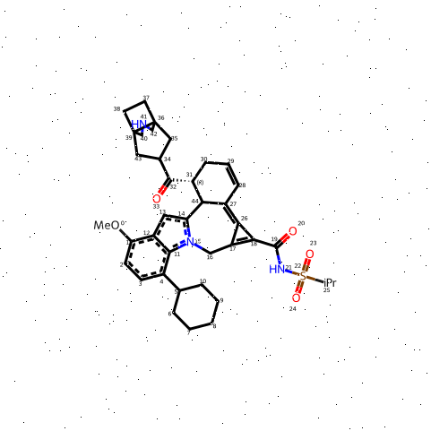 COc1ccc(C2CCCCC2)c2c1cc1n2CC2=C(C(=O)NS(=O)(=O)C(C)C)C2=C2C=CC[C@@H](C(=O)C3CC45CCC4(CNC5)C3)C21